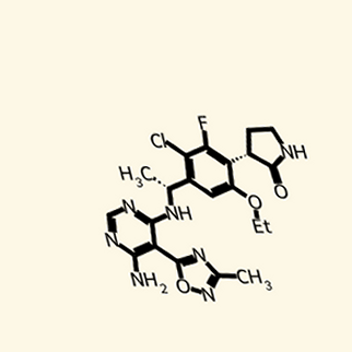 CCOc1cc([C@@H](C)Nc2ncnc(N)c2-c2nc(C)no2)c(Cl)c(F)c1[C@@H]1CCNC1=O